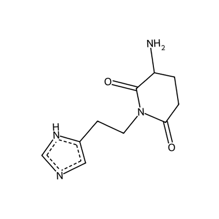 NC1CCC(=O)N(CCc2cnc[nH]2)C1=O